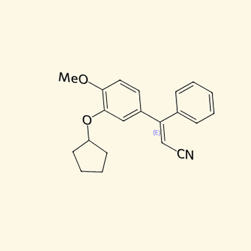 COc1ccc(/C(=C/C#N)c2ccccc2)cc1OC1CCCC1